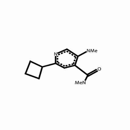 CNC(=O)c1cc(C2CCC2)ncc1NC